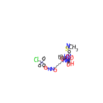 Cc1ncsc1-c1ccc(CNC(=O)[C@@H]2C[C@@H](O)CN2C(=O)C(NC(=O)CCCCCCCCC(=O)N2CCN(CCOc3ccc(/C(=C(/CCCl)c4ccccc4)c4ccccc4)cc3)CC2)C(C)(C)C)cc1